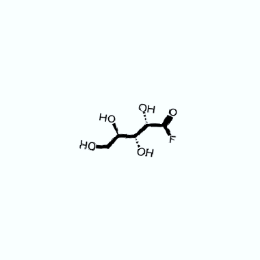 O=C(F)[C@@H](O)[C@H](O)[C@H](O)CO